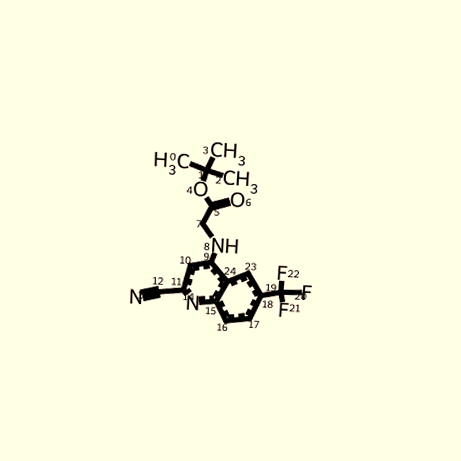 CC(C)(C)OC(=O)CNc1cc(C#N)nc2ccc(C(F)(F)F)cc12